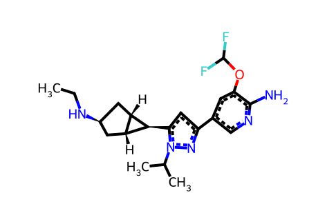 CCN[C@@H]1C[C@@H]2[C@H](C1)[C@H]2c1cc(-c2cnc(N)c(OC(F)F)c2)nn1C(C)C